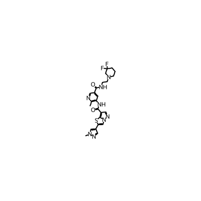 Cc1ncc(C(=O)NCCN2CCCC(F)(F)C2)cc1NC(=O)c1cnn2cc(-c3cnn(C)c3)sc12